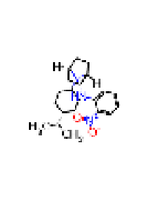 CC(C)[C@H]1CC[C@H](N2[C@H]3CC[C@@H]2[C@H](Nc2ccccc2[N+](=O)[O-])C3)CC1